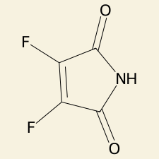 O=C1NC(=O)C(F)=C1F